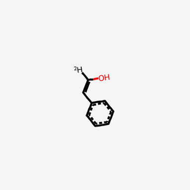 [2H]C(O)=Cc1ccccc1